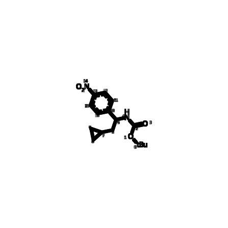 CC(C)(C)OC(=O)NC(CC1CC1)c1ccc([N+](=O)[O-])cc1